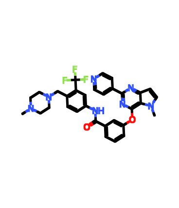 CN1CCN(Cc2ccc(NC(=O)c3cccc(Oc4nc(-c5ccncc5)nc5ccn(C)c45)c3)cc2C(F)(F)F)CC1